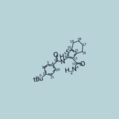 CC(C)(C)c1ccc(C(=O)Nc2sc3c(c2C(N)=O)CCCC3)cc1